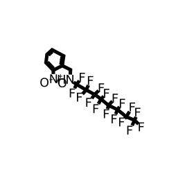 O=[N+]([O-])c1ccccc1CNC(F)(F)C(F)(F)C(F)(F)C(F)(F)C(F)(F)C(F)(F)C(F)(F)C(F)(F)F